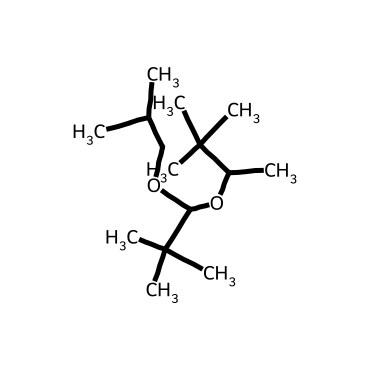 CC(C)COC(OC(C)C(C)(C)C)C(C)(C)C